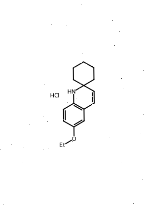 CCOc1ccc2c(c1)C=CC1(CCCCC1)N2.Cl